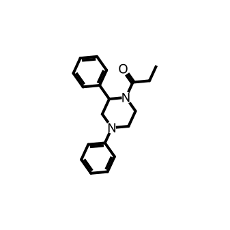 CCC(=O)N1CCN(c2ccccc2)CC1c1ccccc1